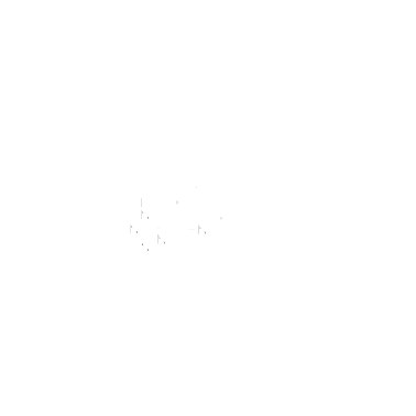 O=C(O)c1[nH]c2c(-c3nnn[nH]3)csc2c1-c1ccc(F)cc1